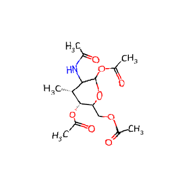 CC(=O)NC1C(OC(C)=O)OC(COC(C)=O)[C@H](OC(C)=O)[C@@H]1C